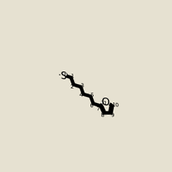 [S]CCCCCCc1ccco1